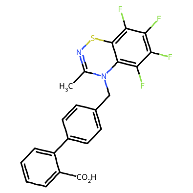 CC1=NSc2c(F)c(F)c(F)c(F)c2N1Cc1ccc(-c2ccccc2C(=O)O)cc1